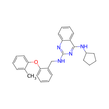 Cc1ccccc1Oc1ccccc1CNc1nc(NC2CCCC2)c2ccccc2n1